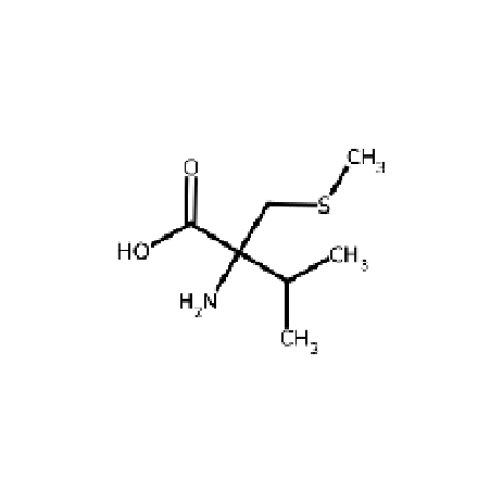 CSCC(N)(C(=O)O)C(C)C